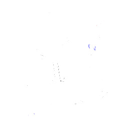 NC(=O)c1ccccc1-c1ccccc1.c1ccc2ocnc2c1